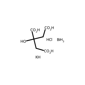 Cl.O=C(O)CC(O)(CC(=O)O)C(=O)O.[BiH3].[KH]